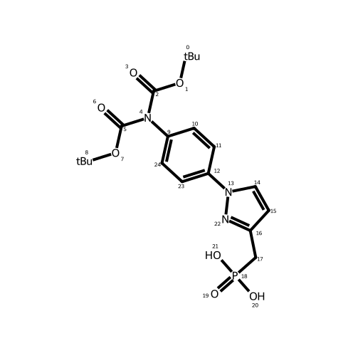 CC(C)(C)OC(=O)N(C(=O)OC(C)(C)C)c1ccc(-n2ccc(CP(=O)(O)O)n2)cc1